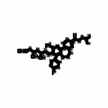 CC(C)c1nc2c(c(-c3ccc(F)cc3)c1/C=C/[C@@H](O)C[C@@H](O)CC=O)CCCc1nc(NCCN(C)C)ccc1-2